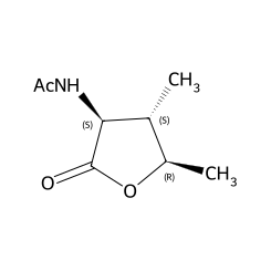 CC(=O)N[C@@H]1C(=O)O[C@H](C)[C@H]1C